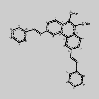 COc1c(OC)c2ccc(/C=C/c3ccccc3)cc2c2cc(/C=C/c3ccccc3)ccc12